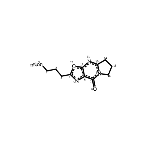 CCCCCCCCCCCCc1nc2c(=O)n3c(nc2o1)CCC3